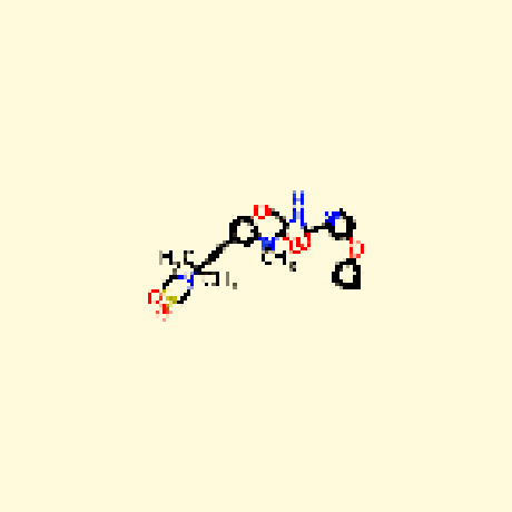 CN1C(=O)[C@H](NC(=O)c2cc(Oc3ccccc3)ccn2)COc2ccc(C#CC(C)(C)N3CCS(=O)(=O)CC3)cc21